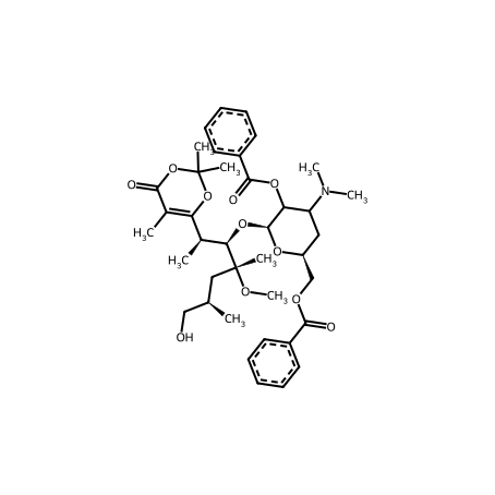 CO[C@](C)(C[C@@H](C)CO)[C@H](O[C@@H]1O[C@H](COC(=O)c2ccccc2)CC(N(C)C)C1OC(=O)c1ccccc1)[C@@H](C)C1=C(C)C(=O)OC(C)(C)O1